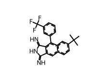 CC(C)(C)c1ccc2cc3c(c(-c4cccc(C(F)(F)F)c4)c2c1)C(=N)NC3=N